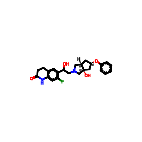 O=C1CCc2cc(C(O)CN3C[C@H]4C[C@H](Oc5ccccc5)C[C@@]4(O)C3)c(F)cc2N1